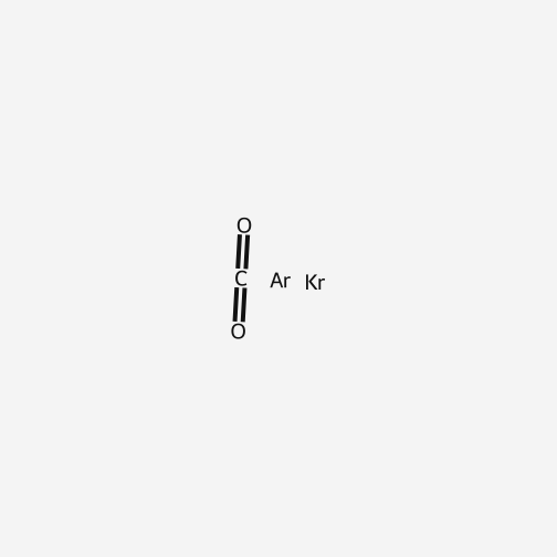 O=C=O.[Ar].[Kr]